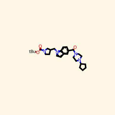 CC(C)(C)OC(=O)N1CCC(Cn2ccc3cc(C(=O)N4CCN(C5CCCC5)CC4)ccc32)C1